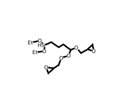 CCO[SiH](CCCC(OCC1CO1)OOCC1CO1)OCC